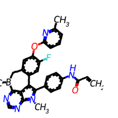 C=CC(=O)Nc1ccc(-c2c3c4c(ncnc4n2C)B(C#N)Cc2cc(Oc4cccc(C)n4)c(F)cc2-3)cc1